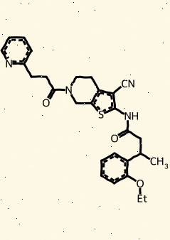 CCOc1ccccc1C(C)CC(=O)Nc1sc2c(c1C#N)CCN(C(=O)CCc1ccccn1)C2